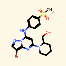 CS(=O)(=O)c1ccc(Nc2cc(N3CCCCC3CO)nc3c(Br)cnn23)cc1